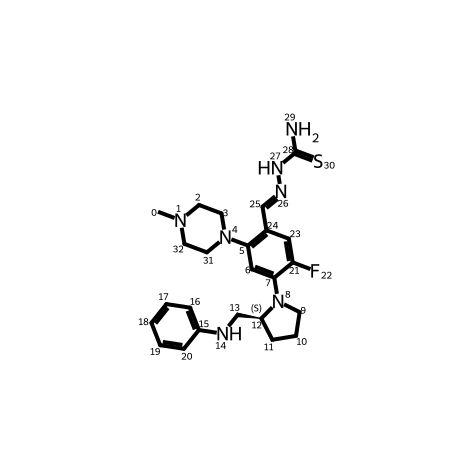 CN1CCN(c2cc(N3CCC[C@H]3CNc3ccccc3)c(F)cc2C=NNC(N)=S)CC1